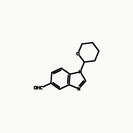 O=Cc1ccc2c(c1)ncn2C1CCCCO1